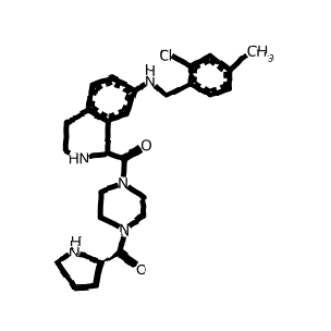 Cc1ccc(CNc2ccc3c(c2)C(C(=O)N2CCN(C(=O)[C@H]4CCCN4)CC2)NCC3)c(Cl)c1